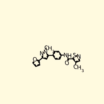 Cc1cnsc1C(=O)Nc1ccc(-c2cc(-c3ccco3)nn2C)cc1